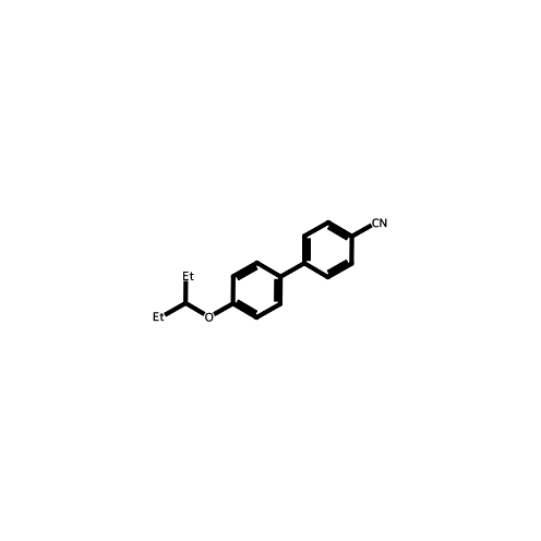 CCC(CC)Oc1ccc(-c2ccc(C#N)cc2)cc1